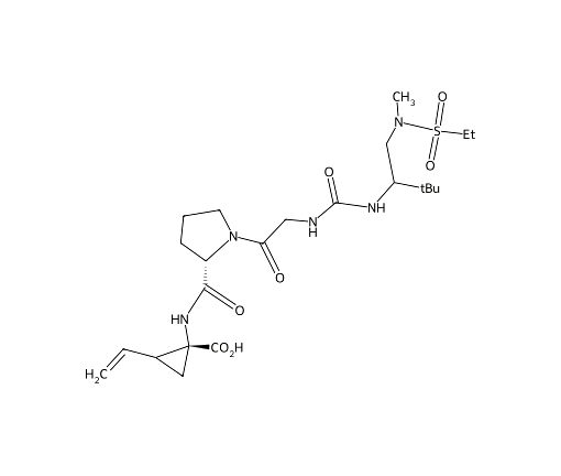 C=CC1C[C@]1(NC(=O)[C@@H]1CCCN1C(=O)CNC(=O)NC(CN(C)S(=O)(=O)CC)C(C)(C)C)C(=O)O